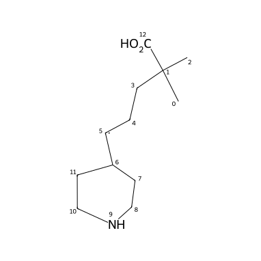 CC(C)(CC[CH]C1CCNCC1)C(=O)O